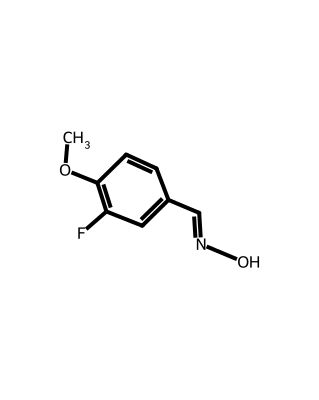 COc1ccc(/C=N/O)cc1F